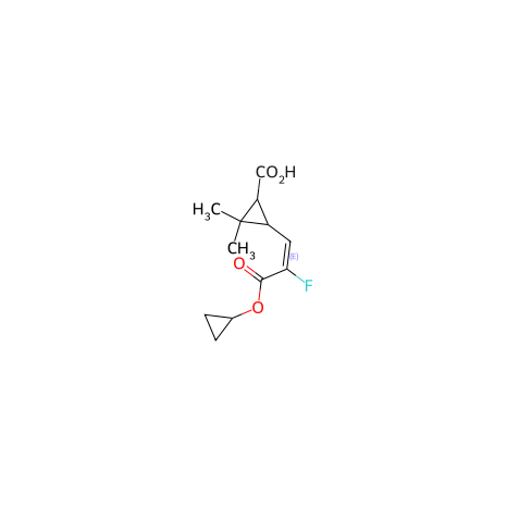 CC1(C)C(/C=C(/F)C(=O)OC2CC2)C1C(=O)O